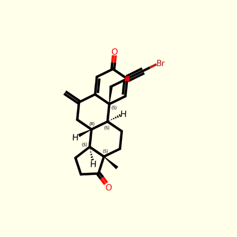 C=C1C[C@H]2[C@@H]3CCC(=O)[C@@]3(C)CC[C@@H]2[C@@]2(CC#CBr)C=CC(=O)C=C12